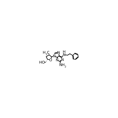 C[C@H]1C[C@@H](CO)OC1n1cnc2c(NCCc3ccccc3)nc(N)nc21